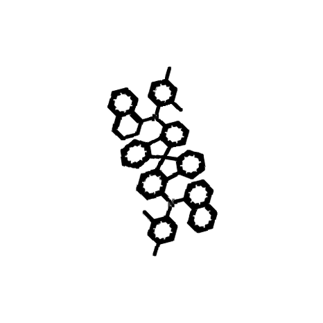 Cc1ccc(N(C2=c3ccccc3=CCC2)c2cccc3c2-c2ccccc2C32c3ccccc3-c3c(N(c4ccc(C)cc4C)c4cccc5ccccc45)cccc32)c(C)c1